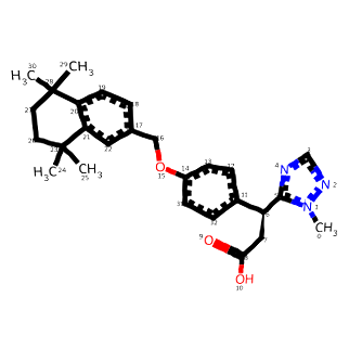 Cn1ncnc1[C@@H](CC(=O)O)c1ccc(OCc2ccc3c(c2)C(C)(C)CCC3(C)C)cc1